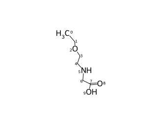 CCOCCNCC(=O)O